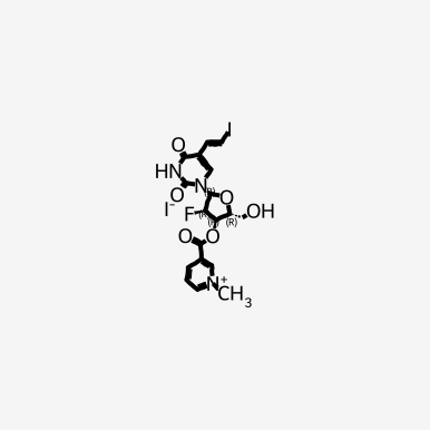 C[n+]1cccc(C(=O)O[C@H]2[C@@H](F)[C@H](n3cc(C=CI)c(=O)[nH]c3=O)O[C@@H]2CO)c1.[I-]